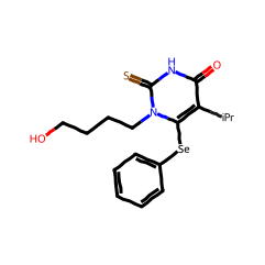 CC(C)c1c([Se]c2ccccc2)n(CCCCO)c(=S)[nH]c1=O